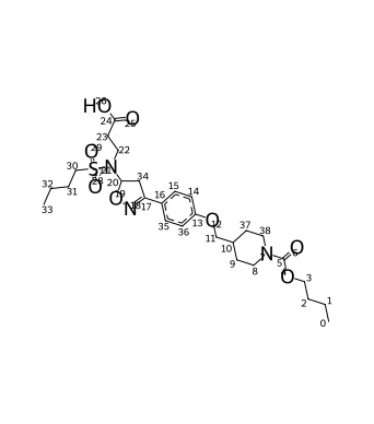 CCCCOC(=O)N1CCC(COc2ccc(C3=NOC(N(CCC(=O)O)S(=O)(=O)CCCC)C3)cc2)CC1